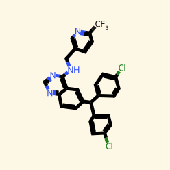 FC(F)(F)c1ccc(CNc2ncnc3ccc(C(c4ccc(Cl)cc4)c4ccc(Cl)cc4)cc23)cn1